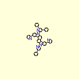 c1ccc(-c2ccc(-n3c4ccc(-c5ccccn5)cc4c4c5ccc6c(c5ccc43)c3cc(-c4ccccn4)ccc3n6-c3cc(-c4ccccc4)cc(-c4ccccc4)n3)nc2)cc1